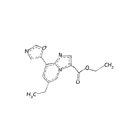 CCOC(=O)c1cnc2c(-c3cnco3)cc(CC)cn12